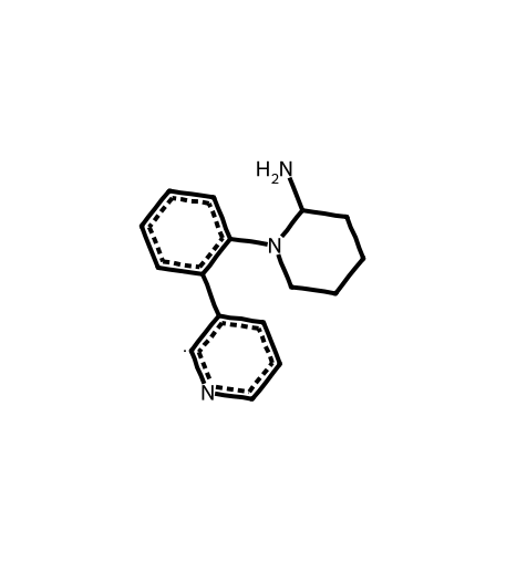 NC1CCCCN1c1ccccc1-c1[c]nccc1